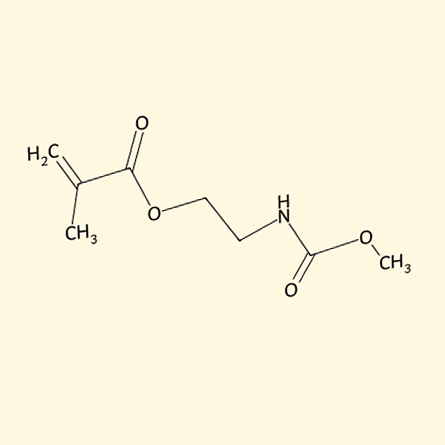 C=C(C)C(=O)OCCNC(=O)OC